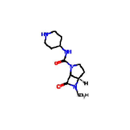 O=C(NC1CCNCC1)N1CC[C@@H]2C1C(=O)N2S(=O)(=O)O